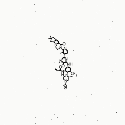 C=CC(=O)Nc1cc(Nc2nc(-c3ccnc(N4CCn5c(cc6c5CC(C)(C)C6)C4=O)c3C)cn(C)c2=O)cc(C(F)(F)F)c1N1CCN(C2COC2)C[C@@H]1C